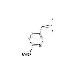 COc1ccc(C=C(C)C)cn1